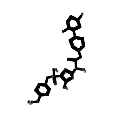 COc1ccc(C[SH](N)(=O)c2sc(N(C)C(=O)Cc3ccc(-c4cc(F)ccc4F)cc3)nc2C)cc1